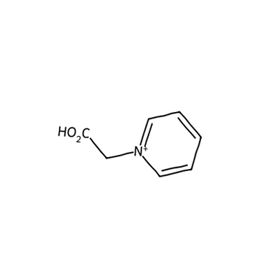 O=C(O)C[n+]1ccccc1